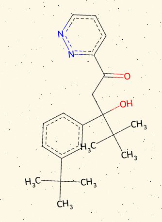 CC(C)(C)c1cccc(C(O)(CC(=O)c2cccnn2)C(C)(C)C)c1